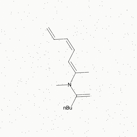 C=C/C=C\C=C(/C)N(C)C(=C)CCCC